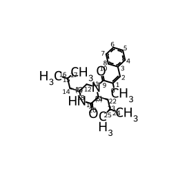 CC(=Cc1ccccc1)C(=O)N1C[C@H](CC(C)C)NC(=O)[C@@H]1CC(C)C